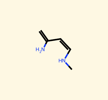 C=C(N)/C=C\NC